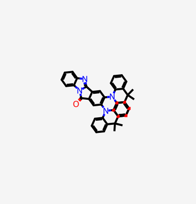 CC1(C)c2ccccc2N(c2cc3c(cc2N2c4ccccc4C(C)(C)c4ccccc42)-c2nc4ccccc4n2C3=O)c2ccccc21